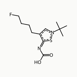 CC(C)(C)n1cc(CCCCF)c(=NC(=O)O)s1